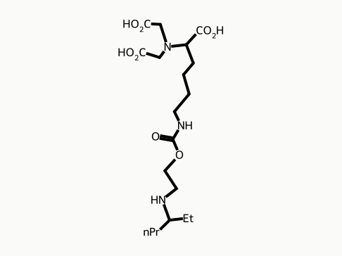 CCCC(CC)NCCOC(=O)NCCCCC(C(=O)O)N(CC(=O)O)CC(=O)O